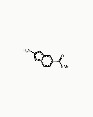 CNC(=O)c1ccn2nc(N)cc2c1